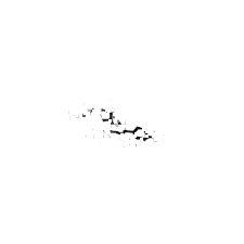 CC(C)(C)OC(=O)N1CC(n2nc(-c3ccc(Br)cc3)c(C#N)c2N)C(F)(F)C1